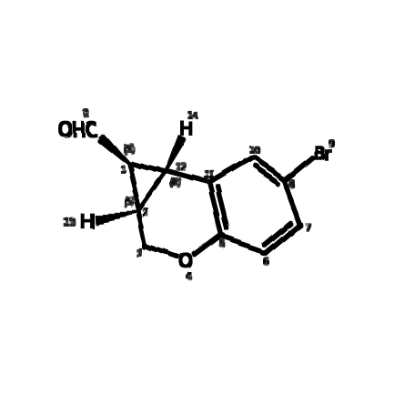 O=C[C@@H]1[C@H]2COc3ccc(Br)cc3[C@@H]12